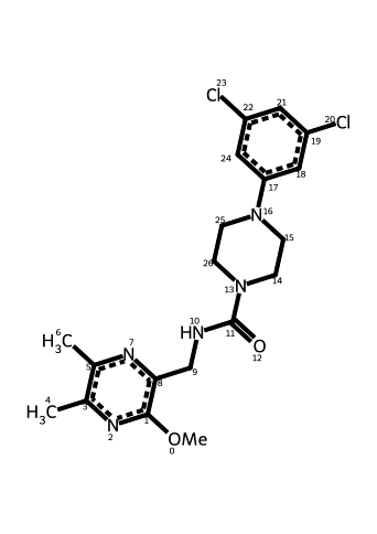 COc1nc(C)c(C)nc1CNC(=O)N1CCN(c2cc(Cl)cc(Cl)c2)CC1